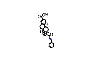 C[C@]12CC[C@@H]3c4ccc(C(=O)O)cc4CC[C@H]3[C@@H]1CC[C@@H]2C(=O)/C=C/c1ccccc1